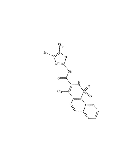 CCc1nc(NC(=O)C2=C(O)c3ccc4ccccc4c3S(=O)(=O)N2)sc1C